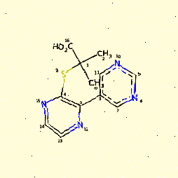 CC(C)(SC1=C(c2cncnc2)N=C=C=N1)C(=O)O